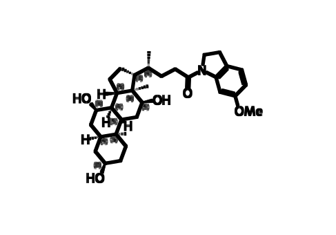 COc1ccc2c(c1)N(C(=O)CC[C@@H](C)[C@H]1CC[C@H]3[C@@H]4[C@H](O)C[C@@H]5C[C@H](O)CC[C@]5(C)[C@H]4C[C@H](O)[C@]13C)CC2